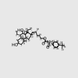 CC[C@@H]1C2C[C@H](O)CC[C@@]2(C)[C@H]2CCC3(C)[C@@H]([C@H](C)CCCOC(=O)N[S+]([O-])c4ccc(C(C)(C)C)cc4)CC[C@H]3C2[C@@H]1O